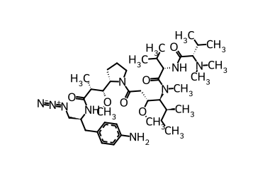 CC[C@H](C)[C@@H]([C@@H](CC(=O)N1CCC[C@H]1[C@H](OC)[C@@H](C)C(=O)N[C@H](CN=[N+]=[N-])Cc1ccc(N)cc1)OC)N(C)C(=O)[C@@H](NC(=O)[C@H](C(C)C)N(C)C)C(C)C